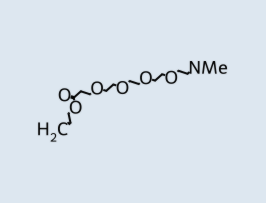 C=CCOC(=O)CCOCCOCCOCCOCCNC